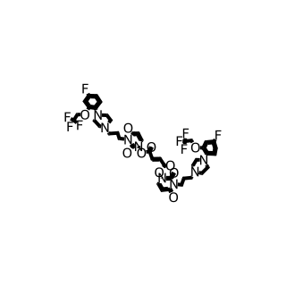 O=C(/C=C/C(=O)On1ccc(=O)n(CCCN2CCN(c3ccc(F)cc3OCC(F)(F)F)CC2)c1=O)On1ccc(=O)n(CCCN2CCN(c3ccc(F)cc3OCC(F)(F)F)CC2)c1=O